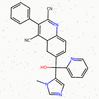 Cn1cncc1C(O)(C1=CC=C2N=C(C#N)C(c3ccccc3)=C(C#N)C2C1)c1ccccn1